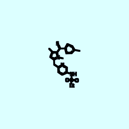 CCS(=O)(=O)Nc1ccc(Cc2cc(C)c(C(=S)c3ccc(C)cc3)n2C)nc1